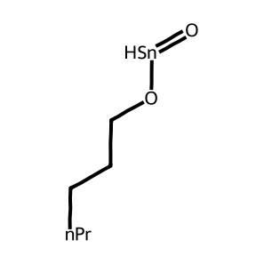 CCCCCC[O][SnH]=[O]